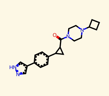 O=C(C1CC1c1ccc(-c2cn[nH]c2)cc1)N1CCN(C2CCC2)CC1